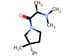 CC(C)[C@@]1(C)CCN(C(=O)[C@@H](C)N(C)C)C1